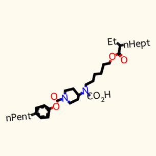 CCCCCCCC(CC)C(=O)OCCCCCCN(C(=O)O)C1CCN(C(=O)Oc2ccc(CCCCC)cc2)CC1